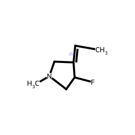 C/C=C1/CN(C)CC1F